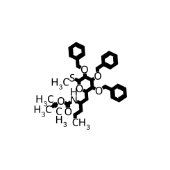 CCCC(CC1OC(SC)C(OCc2ccccc2)C(OCc2ccccc2)C1OCc1ccccc1)NC(=O)OC(C)(C)C